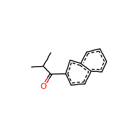 CC(C)C(=O)c1ccc2ccccc2c1